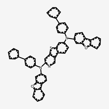 c1ccc(-c2ccc(N(c3ccc4c(c3)oc3ccccc34)c3ccc4c(c3)sc3cc(N(c5ccc(-c6ccccc6)cc5)c5ccc6c(c5)oc5ccccc56)ncc34)cc2)cc1